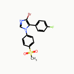 CS(=O)(=O)c1ccc(-n2cnc(Br)c2-c2ccc(F)cc2)cc1